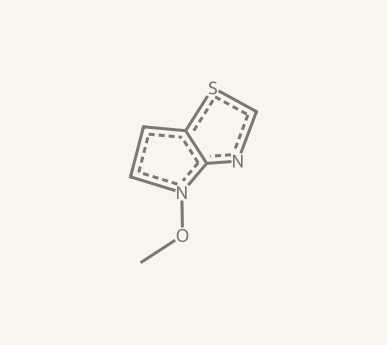 COn1ccc2scnc21